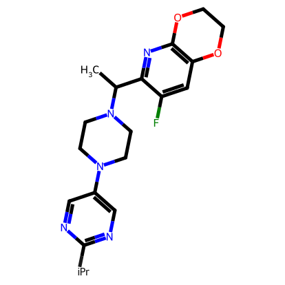 CC(C)c1ncc(N2CCN(C(C)c3nc4c(cc3F)OCCO4)CC2)cn1